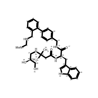 CNCNCc1ccccc1-c1ccc(CNC(=O)[C@@H](Cc2c[nH]c3ccccc23)NC(=O)CC(C)(C)NC[C@H](O)CO)cc1